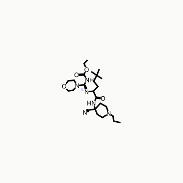 CCCN1CCC(C#N)(NC(=O)C(CCC(C)(C)C)/N=C(\NC(=O)OCC)N2CCOCC2)CC1